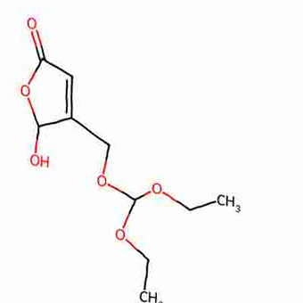 CCOC(OCC)OCC1=CC(=O)OC1O